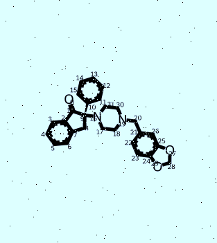 O=C1c2ccccc2C[C@@]1(c1ccccc1)N1CCN(Cc2ccc3c(c2)OCO3)CC1